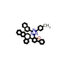 CC1C=CC(c2nc(C3=CC4C=CC=CC4C=C3)nc(-c3c(C4CCc5cc6ccccc6cc5-c5ccccc54)ccc4c3oc3ccccc34)n2)=CC1